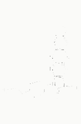 COCC1CCC(n2c(=O)n(C)c3cnc(Nc4cc5c(cc4Cl)OCC5)nc32)CO1